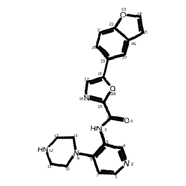 O=C(Nc1cnccc1N1CCNCC1)c1ncc(-c2ccc3occc3c2)o1